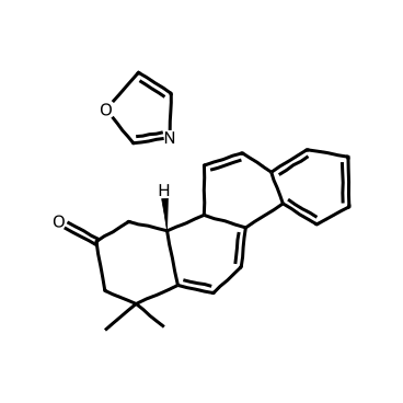 CC1(C)CC(=O)C[C@H]2C1=CC=C1c3ccccc3C=CC12.c1cocn1